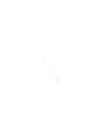 Cc1cn([C@@H]2C=C(CO)[C@H]3OC(C)(C)O[C@H]32)c2ncnc(Cl)c12